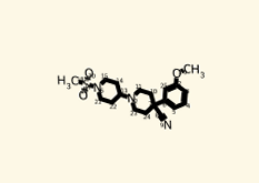 COc1cccc(C2(C#N)CCN(C3CCN(S(C)(=O)=O)CC3)CC2)c1